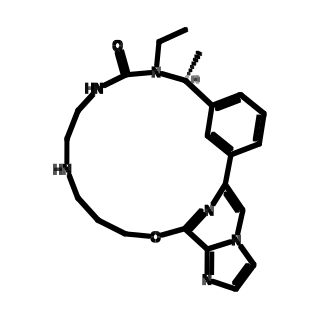 CCN1C(=O)NCCNCCCOc2nc(cn3ccnc23)-c2cccc(c2)[C@H]1C